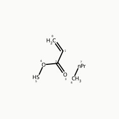 C=CC(=O)OS.CCCC